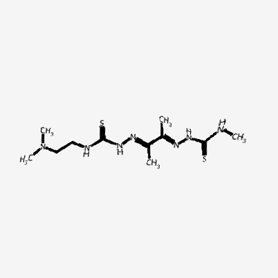 CNC(=S)N/N=C(C)/C(C)=N/NC(=S)NCCN(C)C